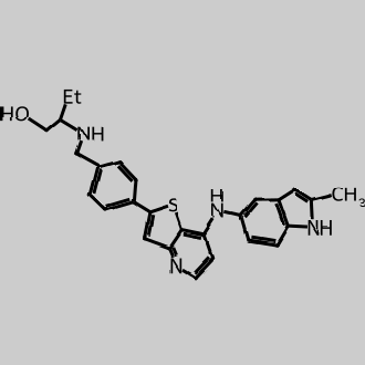 CCC(CO)NCc1ccc(-c2cc3nccc(Nc4ccc5[nH]c(C)cc5c4)c3s2)cc1